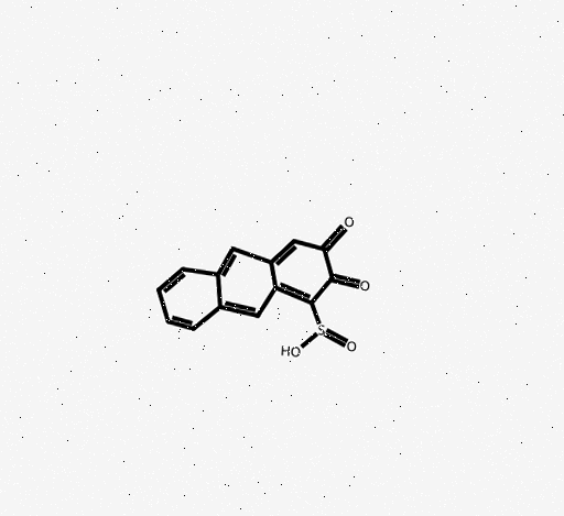 O=C1C=c2cc3ccccc3cc2=C(S(=O)O)C1=O